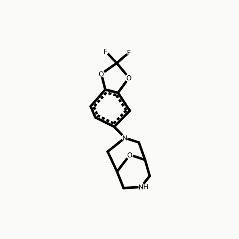 FC1(F)Oc2ccc(N3CC4CNCC(C3)O4)cc2O1